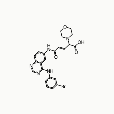 O=C(C=CC(C(=O)O)N1CCOCC1)Nc1ccc2ncnc(Nc3cccc(Br)c3)c2c1